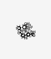 C[C@@H]1C[C@H](c2ccncc2NC(=O)c2ccc(F)c(-c3c(F)cc(C4(O)COC4)cc3F)n2)C[C@H](O)[C@@]1(C)O